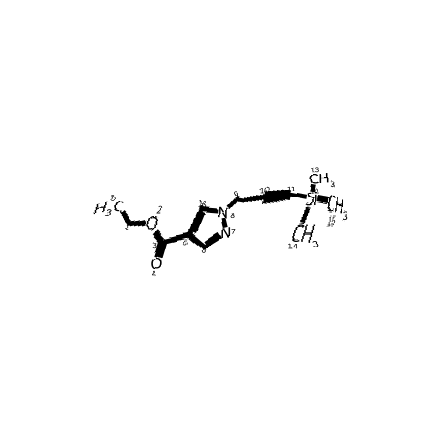 CCOC(=O)c1cnn(CC#C[Si](C)(C)C)c1